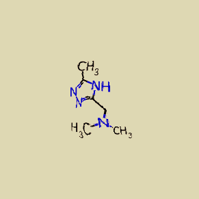 Cc1nnc(CN(C)C)[nH]1